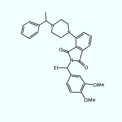 [CH2]CC(c1ccc(OC)c(OC)c1)N1C(=O)c2cccc(N3CCN(C(C)c4ccccc4)CC3)c2C1=O